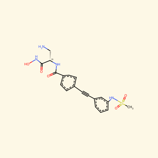 CS(=O)(=O)Nc1cccc(C#Cc2ccc(C(=O)N[C@@H](CN)C(=O)NO)cc2)c1